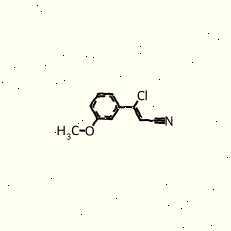 COc1cccc(C(Cl)=CC#N)c1